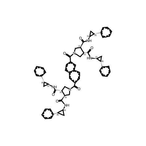 O=C(N[C@H]1C[C@@H]1c1ccccc1)[C@@H]1CN(C(=O)c2ccc3cc(C(=O)N4C[C@@H](C(=O)N[C@H]5C[C@@H]5c5ccccc5)[C@H](C(=O)N[C@H]5C[C@@H]5c5ccccc5)C4)ccc3c2)C[C@H]1C(=O)N[C@H]1C[C@@H]1c1ccccc1